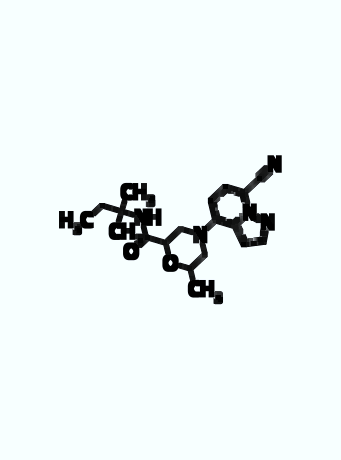 CCC(C)(C)NC(=O)C1CN(c2ccc(C#N)n3nccc23)CC(C)O1